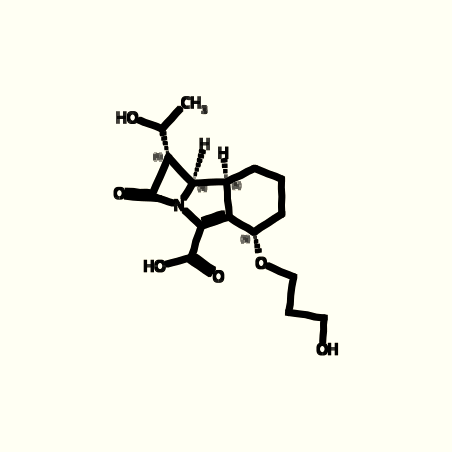 CC(O)[C@H]1C(=O)N2C(C(=O)O)=C3[C@@H](OCCCO)CCC[C@@H]3[C@H]12